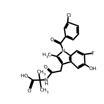 Cc1c(CC(=O)NC(C)(C)C(=O)O)c2cc(O)c(F)cc2n1C(=O)c1cccc(Cl)c1